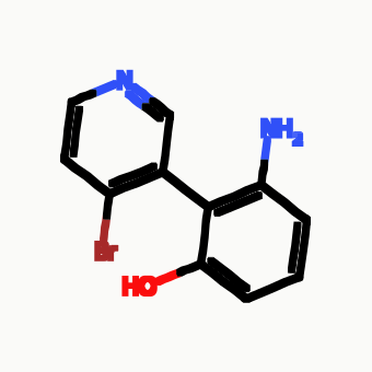 Nc1cccc(O)c1-c1cnccc1Br